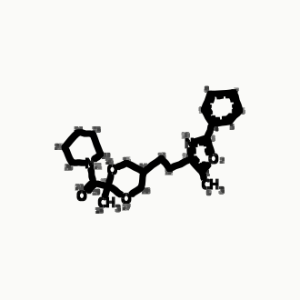 Cc1oc(-c2ccccc2)nc1CCC1COC(C)(C(=O)N2CCCCC2)OC1